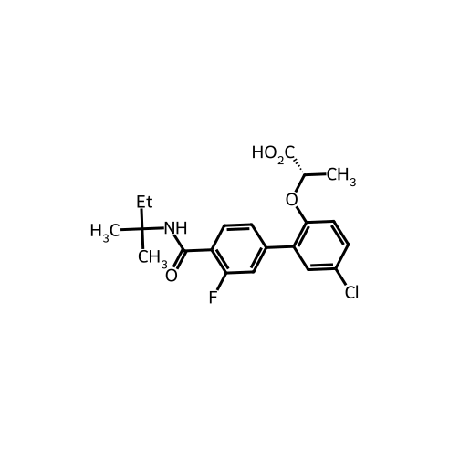 CCC(C)(C)NC(=O)c1ccc(-c2cc(Cl)ccc2O[C@@H](C)C(=O)O)cc1F